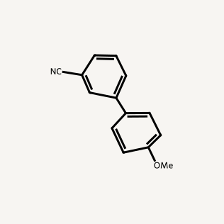 COc1ccc(-c2cccc(C#N)c2)cc1